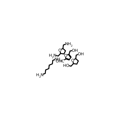 NCC1CCC(CN)O1.NCCCCCCN.O=Cc1ccc(CO)o1.OCC1CCC(CO)O1